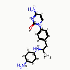 CC(Cc1ccc(-n2ccc(N)nc2=O)cc1)N[C@H]1CC[C@H](N)CC1